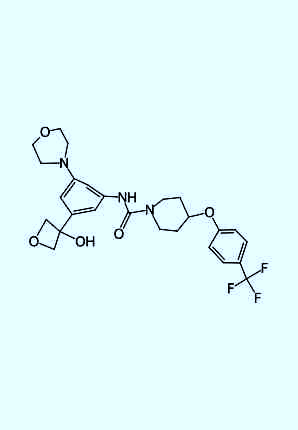 O=C(Nc1cc(N2CCOCC2)cc(C2(O)COC2)c1)N1CCC(Oc2ccc(C(F)(F)F)cc2)CC1